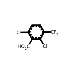 O=C(O)c1c(Cl)ccc(C(F)(F)F)c1Cl